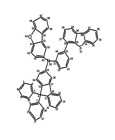 c1ccc(C2(c3ccccc3)c3ccccc3-c3cc(N(c4cccc(-c5cccc6c5sc5ccccc56)c4)c4ccc5oc6ccccc6c5c4)ccc32)cc1